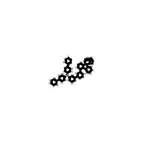 c1ccc(-c2ccc(N(c3ccc(-c4ccccc4)cc3)c3cccc(-c4cccc(-c5cccc6c5-c5ccccc5C65C6CC7CC(C6)CC5C7)c4)c3)cc2)cc1